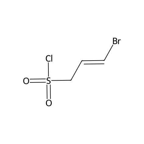 O=S(=O)(Cl)CC=CBr